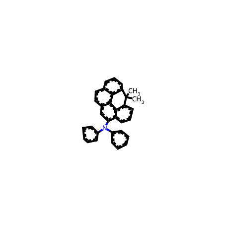 CC1(C)c2cccc3ccc4cc(N(c5ccccc5)c5ccccc5)c5cccc1c5c4c23